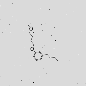 CCCCc1cccc(OCCCCOC)c1